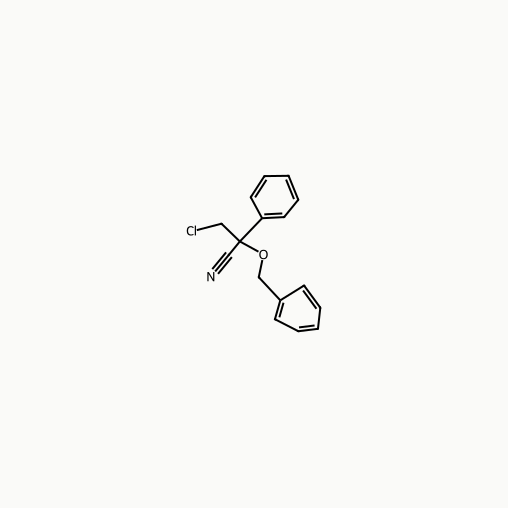 N#CC(CCl)(OCc1ccccc1)c1ccccc1